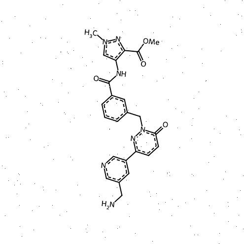 COC(=O)c1nn(C)cc1NC(=O)c1cccc(Cn2nc(-c3cncc(CN)c3)ccc2=O)c1